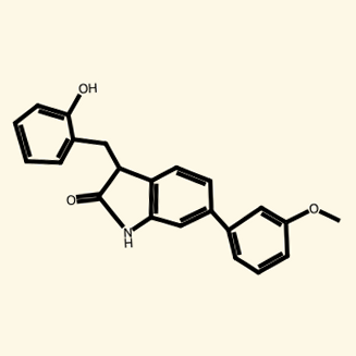 COc1cccc(-c2ccc3c(c2)NC(=O)C3Cc2ccccc2O)c1